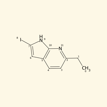 CCc1ccc2cc(I)[nH]c2n1